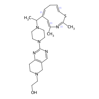 C/C1=N/C(C)=C/C(C(C)N2CCN(c3ncc4c(n3)CCN(CCO)C4)CC2)=C\C/C=C/S1